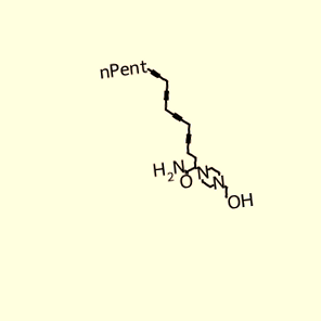 CCCCCC#CCC#CCC#CCC#CCCC(C(N)=O)N1CCN(CCO)CC1